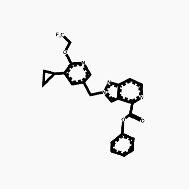 O=C(Oc1ccccc1)c1nccc2nn(Cc3cnc(OCC(F)(F)F)c(C4CC4)c3)cc12